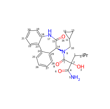 CC(C)CC(O)(C(N)=O)C(=O)N(CC1CC1)[C@@H]1C(=O)Nc2ccccc2-c2ccccc21